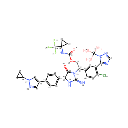 BC(B)(B)n1ncnc1-c1cc([C@@H](COC(=O)NC2(C(F)(F)F)CC2)N2C(=N)N[C@H](c3ccc(-c4cnn(C5CC5)c4)cc3)C2=O)ccc1Cl